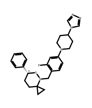 Fc1cc(N2CCC(n3cnnc3)CC2)ccc1CN1S[C@@H](c2ccccc2)CCC12CC2